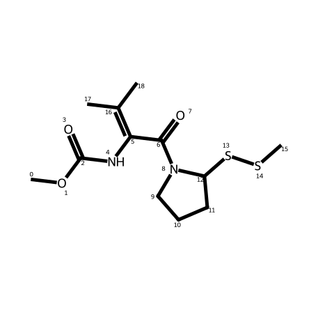 COC(=O)NC(C(=O)N1CCCC1SSC)=C(C)C